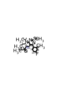 CCCN(CC)c1nc(SC)nc(-c2ccc(F)cc2C)c1/C=C/C(=O)OC